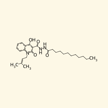 CCCCCCCCCCCC(=O)NNC(=O)c1c(O)c2ccccc2n(CC=C(C)C)c1=O